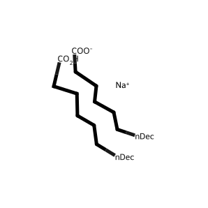 CCCCCCCCCCCCCCCC(=O)O.CCCCCCCCCCCCCCCC(=O)[O-].[Na+]